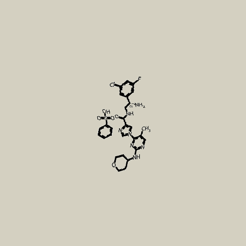 Cc1cnc(NC2CCOCC2)nc1-n1cnc(C(=O)NC[C@@H](N)c2cc(F)cc(Cl)c2)c1.O=S(=O)(O)c1ccccc1